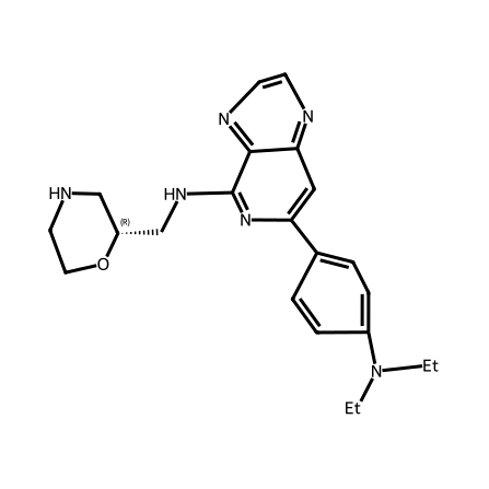 CCN(CC)c1ccc(-c2cc3nccnc3c(NC[C@H]3CNCCO3)n2)cc1